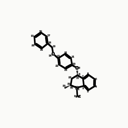 CC(=O)N1c2ccccc2[C@@H](Oc2ccc(OCc3ccccc3)cc2)C[C@H]1C